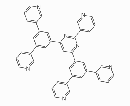 c1cncc(-c2cc(-c3cccnc3)cc(-c3cc(-c4cc(-c5cccnc5)cc(-c5cccnc5)c4)nc(-c4cccnc4)n3)c2)c1